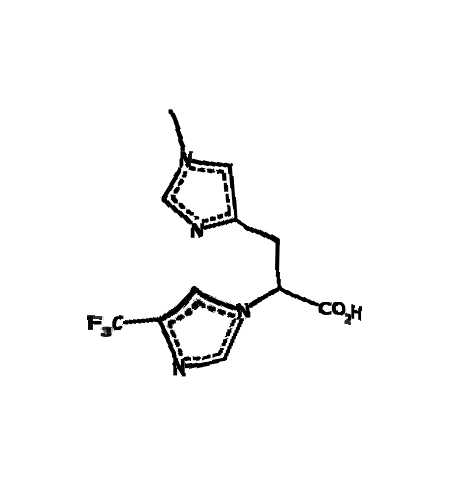 Cn1cnc(CC(C(=O)O)n2cnc(C(F)(F)F)c2)c1